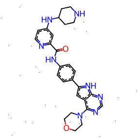 O=C(Nc1ccc(-c2cc3c(N4CCOCC4)ncnc3[nH]2)cc1)c1cc(NC2CCNCC2)ccn1